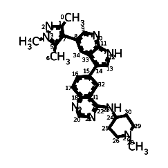 Cc1nn(C)c(C)c1-c1cnc2[nH]cc(-c3ccc4ncnc(NC5CCN(C)CC5)c4c3)c2c1